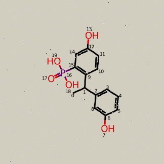 CC(c1cccc(O)c1)c1ccc(O)cc1P(=O)(O)O